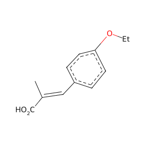 CCOc1ccc(C=C(C)C(=O)O)cc1